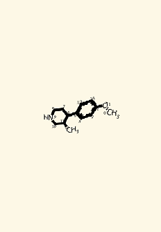 COc1ccc(C2CCNCC2C)cc1